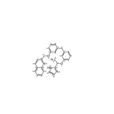 CC(Oc1cccc(Cc2cccc(OCc3ccc4ccccc4n3)c2)c1)c1nnn[nH]1